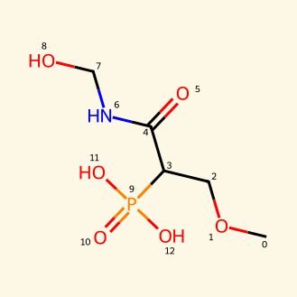 COCC(C(=O)NCO)P(=O)(O)O